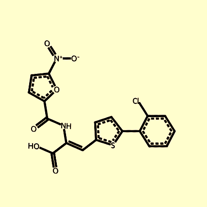 O=C(O)/C(=C/c1ccc(-c2ccccc2Cl)s1)NC(=O)c1ccc([N+](=O)[O-])o1